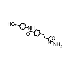 C#Cc1ccc(NC(=O)c2ccc(CCC3COC(N)=N3)cc2)cc1